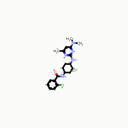 Cc1cc(N(C)C)nc(NC2CCC(NC(=O)c3ccccc3Cl)CC2)n1.Cl